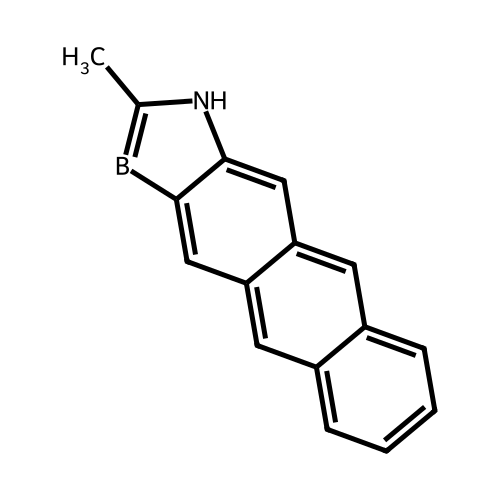 Cc1bc2cc3cc4ccccc4cc3cc2[nH]1